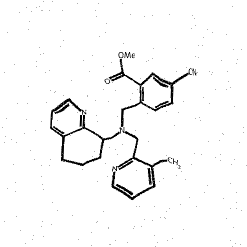 COC(=O)c1cc(C#N)ccc1CN(Cc1ncccc1C)C1CCCc2cccnc21